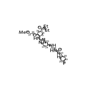 CCN(CC)C(=O)c1ccc(Nc2nc3ccc(NCCNC(=O)NCc4ccc(F)cc4)cn3n2)c(OCCOC)c1